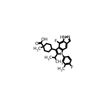 Cc1cc(-n2c(C(C)C)c(C3CCC(C)(C(=O)O)CC3)c3c(F)c4[nH]ncc4cc32)ccc1F